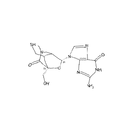 CN1C(=O)[C@]2(CO)O[C@@H](n3cnc4c(=O)[nH]c(N)nc43)C1C2CS